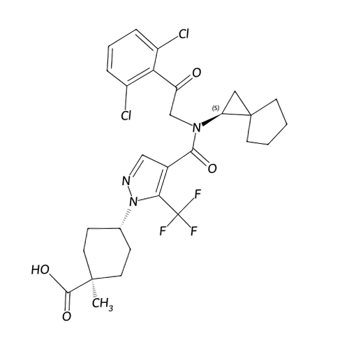 C[C@]1(C(=O)O)CC[C@H](n2ncc(C(=O)N(CC(=O)c3c(Cl)cccc3Cl)[C@H]3CC34CCCC4)c2C(F)(F)F)CC1